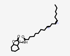 CCCCC/C=C\C/C=C/CCCCCCCC(=O)N[C@@H]1C(=O)OC2CCCCC21